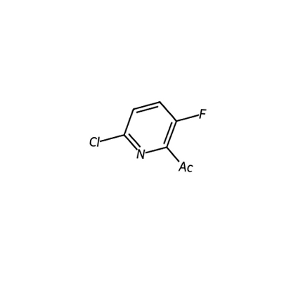 CC(=O)c1nc(Cl)ccc1F